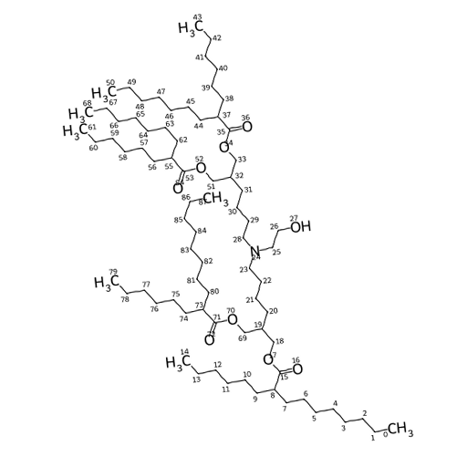 CCCCCCCCC(CCCCCC)C(=O)OCC(CCCCN(CCO)CCCCC(COC(=O)C(CCCCCC)CCCCCCC)COC(=O)C(CCCCCC)CCCCCCC)COC(=O)C(CCCCCC)CCCCCCCC